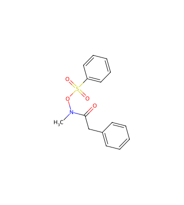 CN(OS(=O)(=O)c1ccccc1)C(=O)Cc1ccccc1